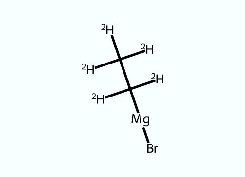 [2H]C([2H])([2H])[C]([2H])([2H])[Mg][Br]